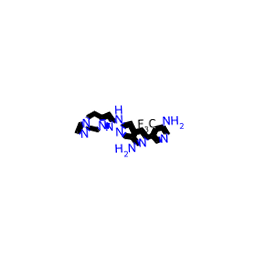 Nc1cncc(-c2cc3cc(Nc4cc5n(n4)Cc4nccn4CC5)ncc3c(N)n2)c1C(F)(F)F